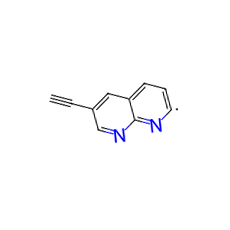 C#Cc1cnc2n[c]ccc2c1